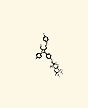 CC(C)C[C@@H](NC(=O)COc1ccc(C2C(CCOc3ccc(F)cc3)C(C=O)N2c2ccc(F)cc2)cc1)C(=O)O